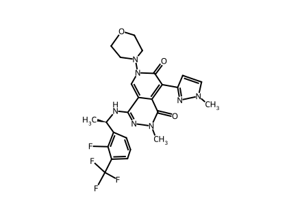 C[C@@H](Nc1nn(C)c(=O)c2c(-c3ccn(C)n3)c(=O)n(N3CCOCC3)cc12)c1cccc(C(F)(F)F)c1F